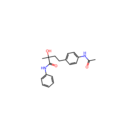 CC(=O)Nc1ccc(CCC(C)(O)C(=O)Nc2ccccc2)cc1